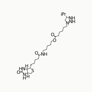 CC(C)C1CN(CCCCCC(=O)OCCCCCNC(=O)CCCC[C@H]2SC[C@@H]3NC(=O)N[C@@H]32)NN1